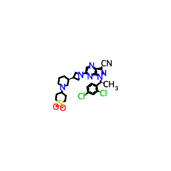 C[C@H](c1ccc(Cl)cc1Cl)n1nc(C#N)c2ncc(N3CC([C@@H]4CCCN(C5CCS(=O)(=O)CC5)C4)C3)nc21